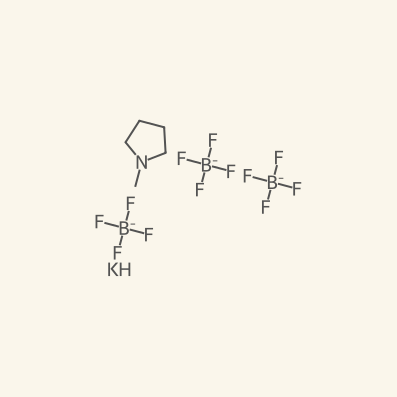 CN1CCCC1.F[B-](F)(F)F.F[B-](F)(F)F.F[B-](F)(F)F.[KH]